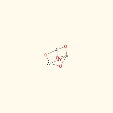 [O]1[Al]2[O][Si]3([O]2)[O][Al]1[O]3